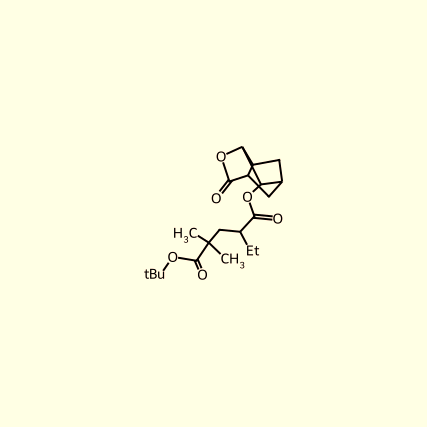 CCC(CC(C)(C)C(=O)OC(C)(C)C)C(=O)OC1C2CC3C(=O)OC1C3C2